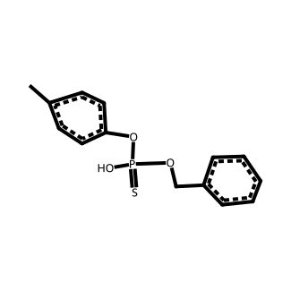 Cc1ccc(OP(O)(=S)OCc2ccccc2)cc1